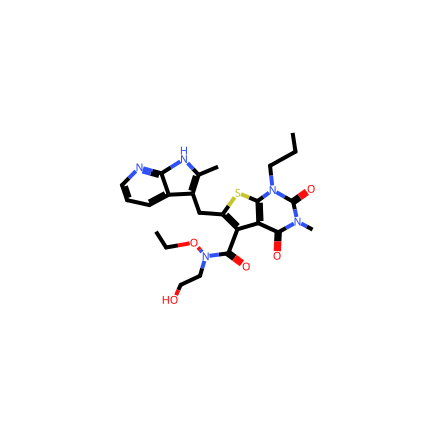 CCCn1c(=O)n(C)c(=O)c2c(C(=O)N(CCO)OCC)c(Cc3c(C)[nH]c4ncccc34)sc21